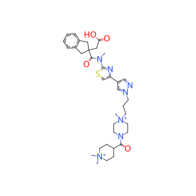 CN(C(=O)C1(CC(=O)O)Cc2ccccc2C1)c1nc(-c2cnn(CCC[N+]3(C)CCN(C(=O)C4CC[N+](C)(C)CC4)CC3)c2)cs1